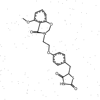 COc1cccc2c1C(=O)N(CCOc1ccc(CC3SC(=O)NC3=O)cc1)CO2